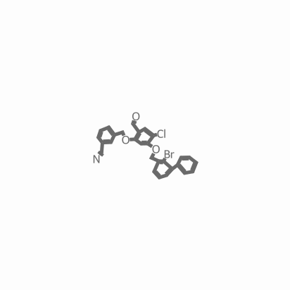 N#Cc1cccc(COc2cc(OCc3cccc(-c4ccccc4)c3Br)c(Cl)cc2C=O)c1